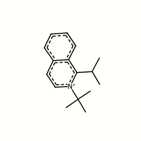 CC(C)c1c2ccccc2cc[n+]1C(C)(C)C